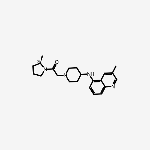 Cc1cnc2cccc(NC3CCN(CC(=O)N4CCC[C@H]4C)CC3)c2c1